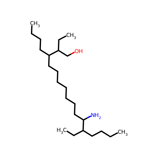 CCCCC(CC)C(N)CCCCCCCC(CCCC)C(CC)CO